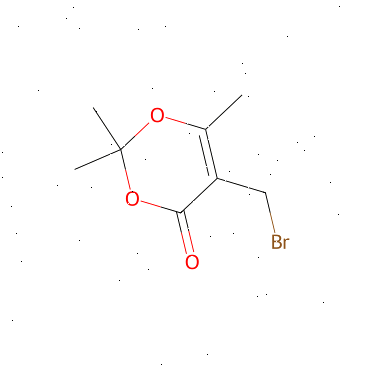 CC1=C(CBr)C(=O)OC(C)(C)O1